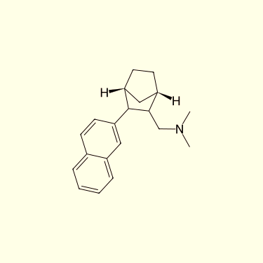 CN(C)CC1C(c2ccc3ccccc3c2)[C@@H]2CC[C@H]1C2